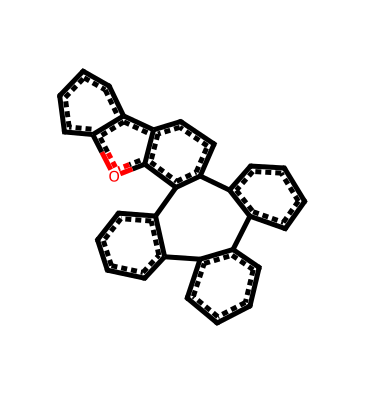 c1ccc2c(c1)-c1ccccc1-c1ccc3c(oc4ccccc43)c1-c1ccccc1-2